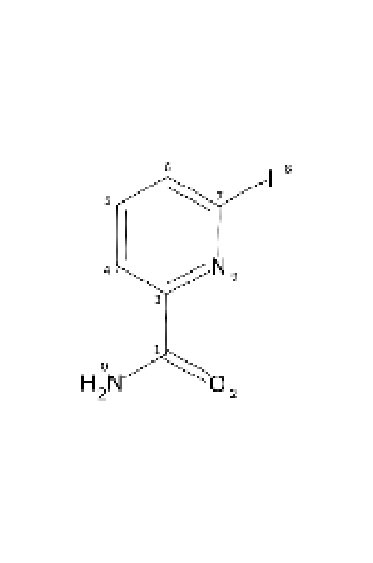 NC(=O)c1[c]ccc(I)n1